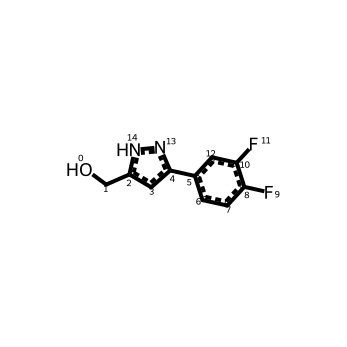 OCc1cc(-c2ccc(F)c(F)c2)n[nH]1